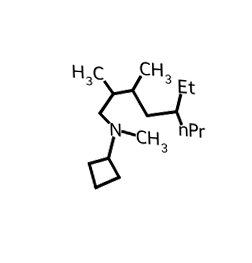 CCCC(CC)CC(C)C(C)CN(C)C1CCC1